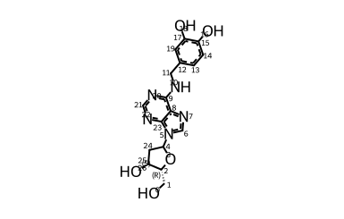 OC[C@H]1OC(n2cnc3c(NCc4ccc(O)c(O)c4)ncnc32)C[C@@H]1O